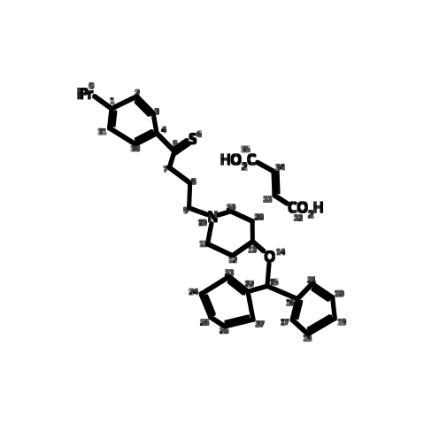 CC(C)c1ccc(C(=S)CCCN2CCC(OC(c3ccccc3)c3ccccc3)CC2)cc1.O=C(O)C=CC(=O)O